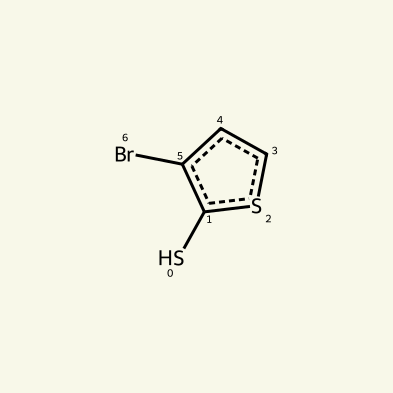 Sc1sccc1Br